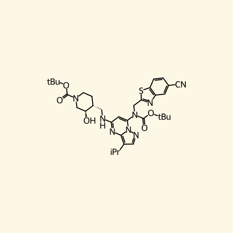 CC(C)c1cnn2c(N(Cc3nc4cc(C#N)ccc4s3)C(=O)OC(C)(C)C)cc(NC[C@H]3CCN(C(=O)OC(C)(C)C)C[C@@H]3O)nc12